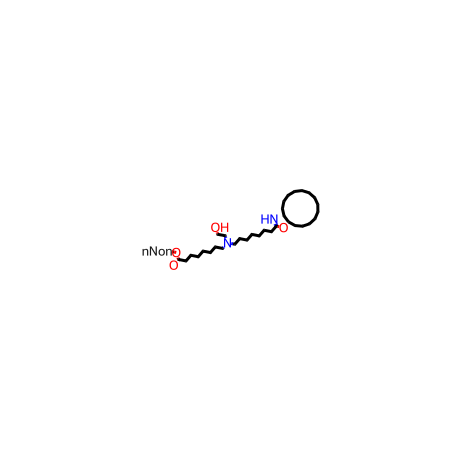 CCCCCCCCCOC(=O)CCCCCCCN(CCO)CCCCCCCC(=N)OC1CCCCCCCCCCCCCC1